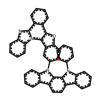 c1ccc(-n2c3ccccc3c3ccc4c5ccccc5n(-c5ccc6oc7c8ccccc8c8nc9ccccc9n8c7c6c5)c4c32)cc1